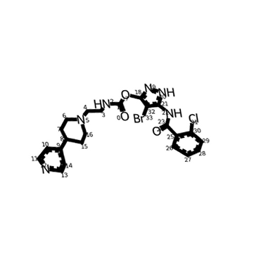 O=C(NCCN1CCC(c2ccncc2)CC1)Oc1n[nH]c(NC(=O)c2ccccc2Cl)c1Br